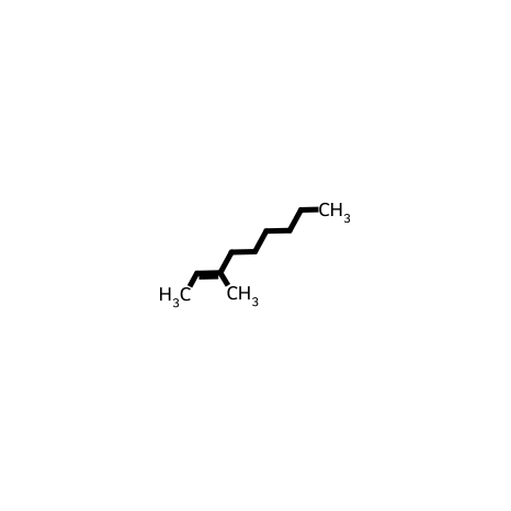 C/C=C(\C)CCCCCC